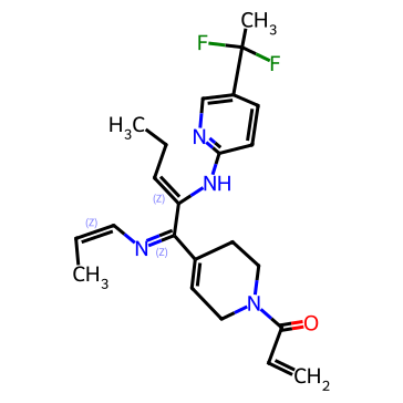 C=CC(=O)N1CC=C(C(=N/C=C\C)/C(=C/CC)Nc2ccc(C(C)(F)F)cn2)CC1